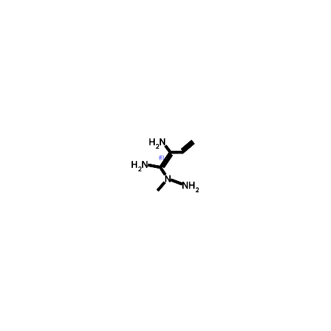 C=C/C(N)=C(/N)N(C)N